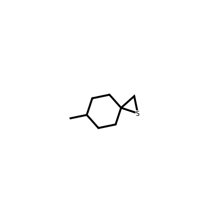 CC1CCC2(CC1)CS2